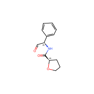 O=C[C@H](NC(=O)[C@H]1CCCO1)c1ccccc1